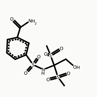 CS(=O)(=O)C(CO)(NS(=O)(=O)c1cccc(C(N)=O)c1)S(C)(=O)=O